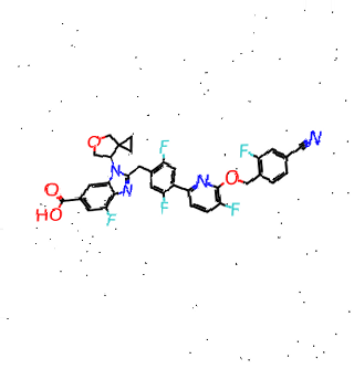 N#Cc1ccc(COc2nc(-c3cc(F)c(Cc4nc5c(F)cc(C(=O)O)cc5n4C4COCC45CC5)cc3F)ccc2F)c(F)c1